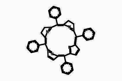 C1=CC2=C(c3ccccc3)C3=NC(=C(c4ccccc4)C4=NC(=C(c5ccccc5)C5=NC(=C(c6ccccc6)C1=N2)C=C5)CC4)CC3